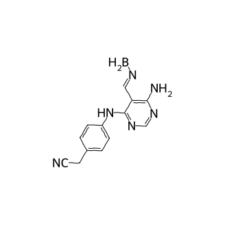 B/N=C/c1c(N)ncnc1Nc1ccc(CC#N)cc1